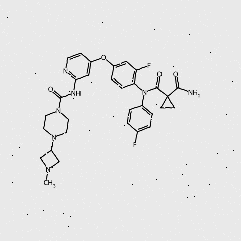 CN1CC(N2CCN(C(=O)Nc3cc(Oc4ccc(N(C(=O)C5(C(N)=O)CC5)c5ccc(F)cc5)c(F)c4)ccn3)CC2)C1